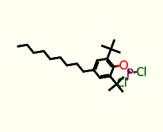 CCCCCCCCCc1cc(C(C)(C)C)c(OP(Cl)Cl)c(C(C)(C)C)c1